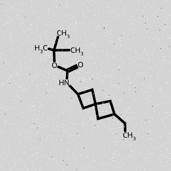 CCC1CC2(C1)CC(NC(=O)OC(C)(C)C)C2